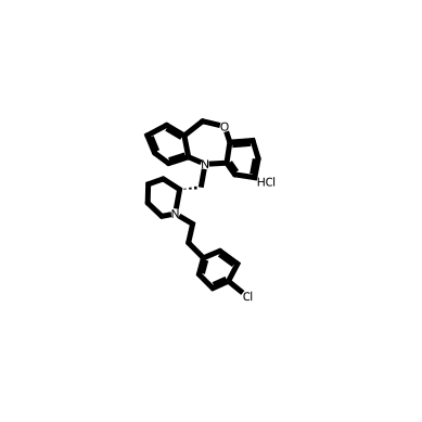 Cl.Clc1ccc(CCN2CCCC[C@@H]2CN2c3ccccc3COc3ccccc32)cc1